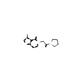 O=C(Cn1ccc2scc(Br)c2c1=O)N1CCCC1